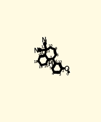 COc1cccc(C2C=CCC(C#N)(C#N)C3=CCCC[C@H]32)c1